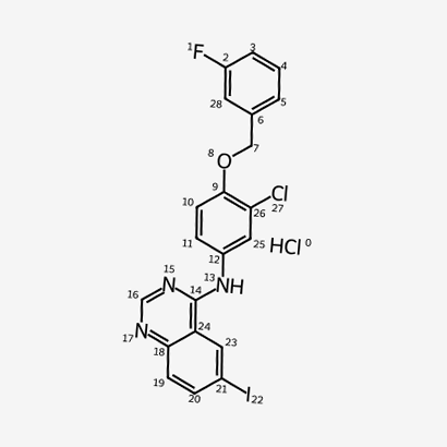 Cl.Fc1cccc(COc2ccc(Nc3ncnc4ccc(I)cc34)cc2Cl)c1